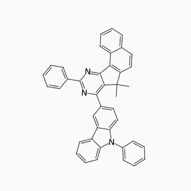 CC1(C)c2ccc3ccccc3c2-c2nc(-c3ccccc3)nc(-c3ccc4c(c3)c3ccccc3n4-c3ccccc3)c21